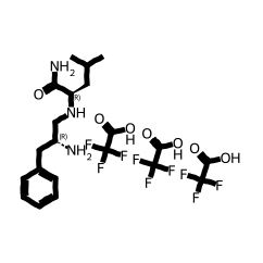 CC(C)C[C@@H](NC[C@H](N)Cc1ccccc1)C(N)=O.O=C(O)C(F)(F)F.O=C(O)C(F)(F)F.O=C(O)C(F)(F)F